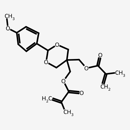 C=C(C)C(=O)OCC1(COC(=O)C(=C)C)COC(c2ccc(OC)cc2)OC1